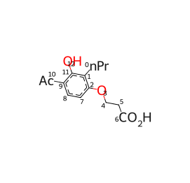 CCCc1c(OCCC(=O)O)ccc(C(C)=O)c1O